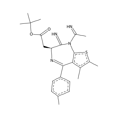 CC(=N)N1C(=N)[C@H](CC(=O)OC(C)(C)C)N=C(c2ccc(C)cc2)c2c1sc(C)c2C